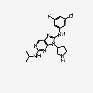 CC(C)Nc1ncc2nc(Nc3cc(F)cc(Cl)c3)n(C3CCNC3)c2n1